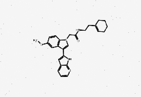 COc1ccc2c(c1)c(-c1cc3cccnc3[nH]1)cn2CC(=O)NCCC1=CCCCC1